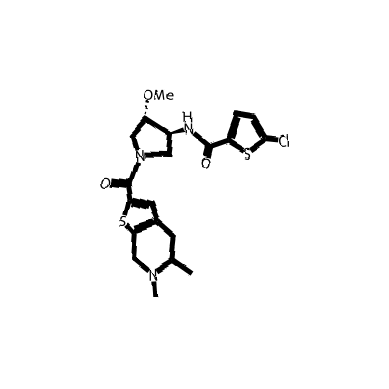 CO[C@H]1CN(C(=O)c2cc3c(s2)CN(C)C(C)C3)C[C@@H]1NC(=O)c1ccc(Cl)s1